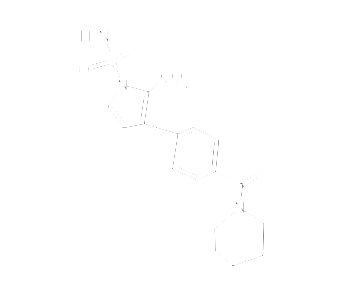 NS(=O)(=O)n1ccc(-c2ccc(C(=O)N3CCCCC3)cc2)c1C(=O)O